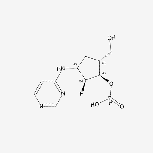 O=[PH](O)O[C@@H]1[C@@H](CO)C[C@@H](Nc2ccncn2)[C@@H]1F